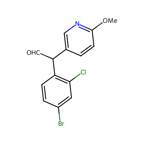 COc1ccc(C(C=O)c2ccc(Br)cc2Cl)cn1